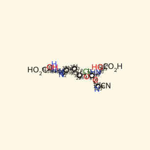 Cc1c(COc2cc(OCc3cncc(C#N)c3)c(CNCC(O)CC(=O)O)cc2Cl)cccc1-c1cccc(-c2ccc3c(cnn3CCNCC(O)CC(=O)O)c2)c1C